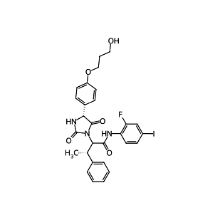 C[C@@H](c1ccccc1)C(C(=O)Nc1ccc(I)cc1F)N1C(=O)N[C@H](c2ccc(OCCCO)cc2)C1=O